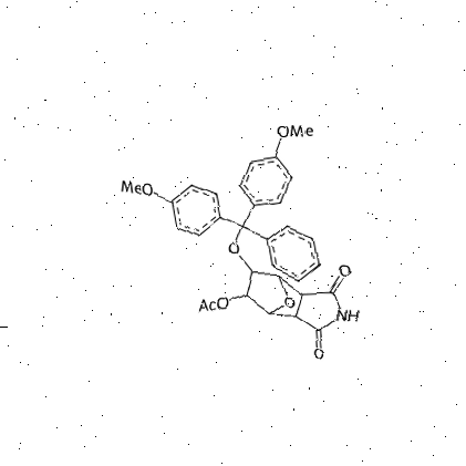 COc1ccc(C(OC2C(OC(C)=O)C3OC2C2C(=O)NC(=O)C32)(c2ccccc2)c2ccc(OC)cc2)cc1